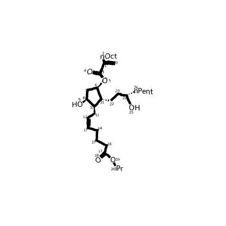 C=C(CCCCCCCC)C(=O)O[C@@H]1C[C@H](O)[C@H](C/C=C\CCCC(=O)OC(C)C)[C@H]1CC[C@@H](O)CCCCC